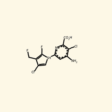 Nc1cc([SH]2C=C(Cl)C(CF)=C2F)nc(C(=O)O)c1Cl